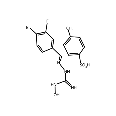 Cc1ccc(S(=O)(=O)O)cc1.N=C(NO)NN=Cc1ccc(Br)c(F)c1